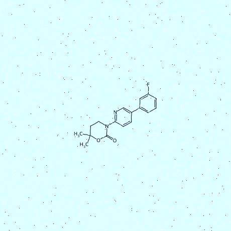 CC1(C)CCN(c2ccc(-c3cccc(F)c3)cn2)C(=O)O1